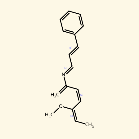 C=C(/C=C\C(=C/C)OC)/N=C/C=C/c1ccccc1